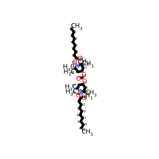 CCCCCCCCCCC(=O)ON1C(C)(C)CC(OC(=O)OC2CC(C)(C)N(OC(=O)CCCCCCCCCC)C(C)(C)C2)CC1(C)C